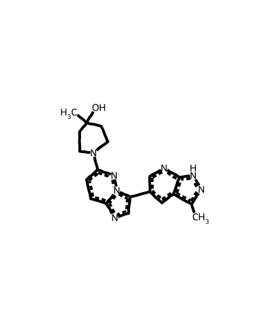 Cc1n[nH]c2ncc(-c3cnc4ccc(N5CCC(C)(O)CC5)nn34)cc12